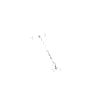 CC(C)CCCCCCCCCCCCCCCOCC(C)[O]